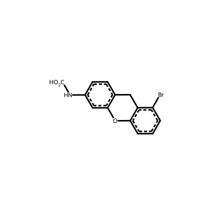 O=C(O)Nc1ccc2c(c1)Oc1cccc(Br)c1C2